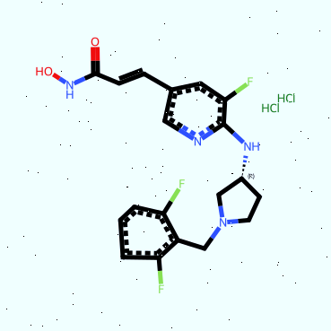 Cl.Cl.O=C(C=Cc1cnc(N[C@@H]2CCN(Cc3c(F)cccc3F)C2)c(F)c1)NO